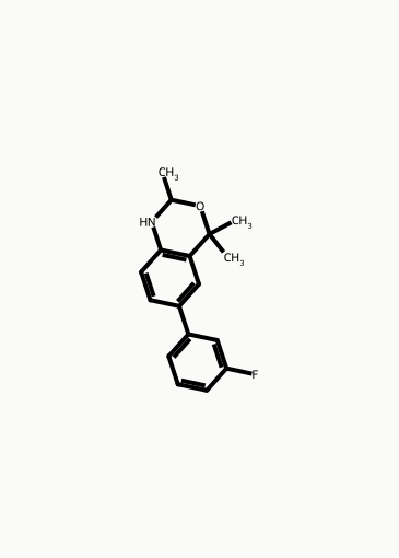 CC1Nc2ccc(-c3cccc(F)c3)cc2C(C)(C)O1